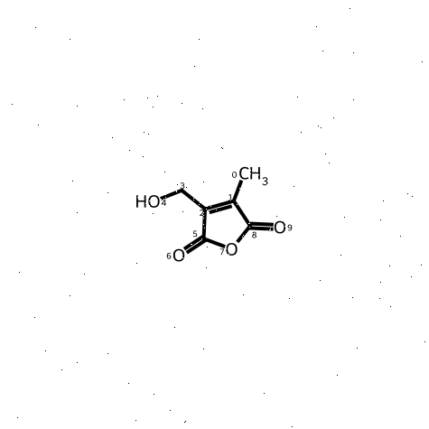 CC1=C(CO)C(=O)OC1=O